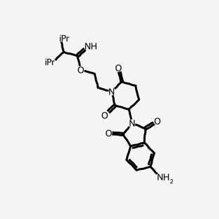 CC(C)C(C(=N)OCCN1C(=O)CCC(N2C(=O)c3ccc(N)cc3C2=O)C1=O)C(C)C